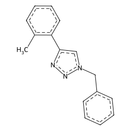 Cc1ccccc1-c1cn(Cc2ccccc2)nn1